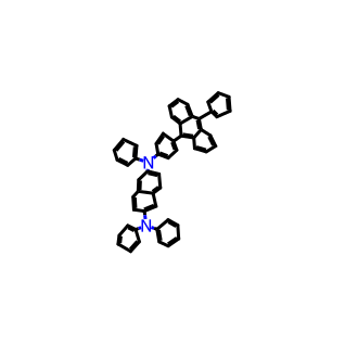 c1ccc(-c2c3ccccc3c(-c3ccc(N(c4ccccc4)c4ccc5cc(N(c6ccccc6)c6ccccc6)ccc5c4)cc3)c3ccccc23)cc1